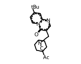 CC(=O)C12CCC(CC1)N(Cc1cnc3cc(C(C)(C)C)ccn3c1=O)C2